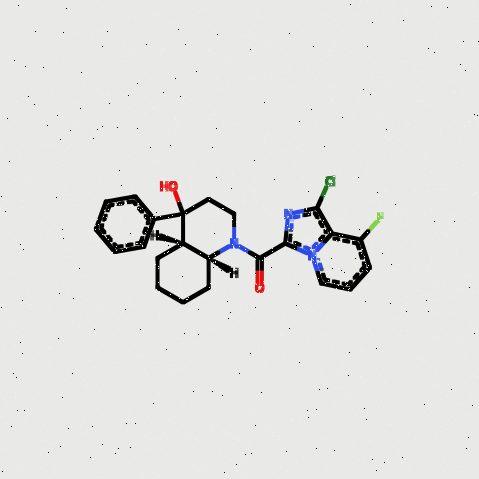 O=C(c1nc(Cl)c2c(F)cccn12)N1CCC(O)(c2ccccc2)[C@H]2CCCC[C@H]21